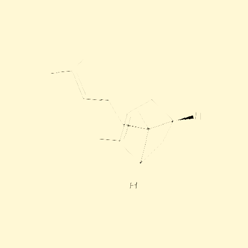 CC(C)=CCCC1(C)[C@@H]2CC=C(C)[C@@H]1C2